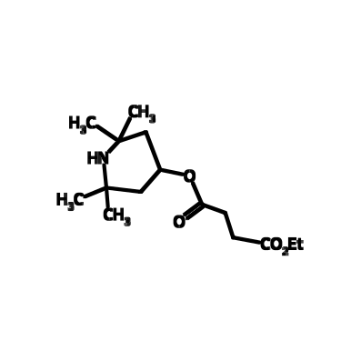 CCOC(=O)CCC(=O)OC1CC(C)(C)NC(C)(C)C1